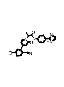 CC(C(=O)Nc1ccc(-c2ncc[nH]2)cc1)n1ccc(-c2cc(Cl)ccc2C#N)cc1=O